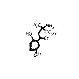 CCC(CC(C)(N)C(=O)O)c1cc(O)ccc1O